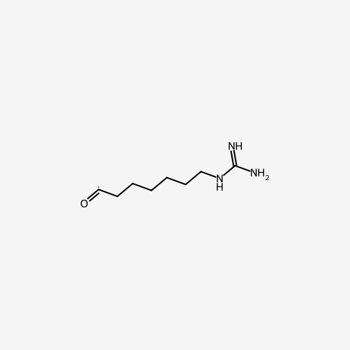 N=C(N)NCCCCCC[C]=O